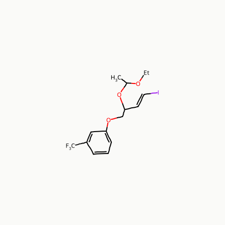 CCOC(C)OC(/C=C/I)COc1cccc(C(F)(F)F)c1